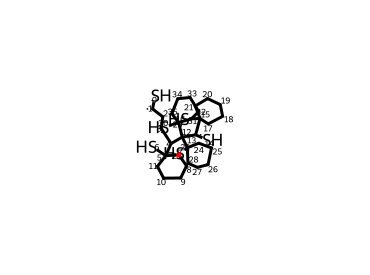 S[CH]CCC(C1(S)CCCCC1)C([C](S)C1(S)CCCCC1)(C1(S)CCCCC1)C1(S)CCCCC1